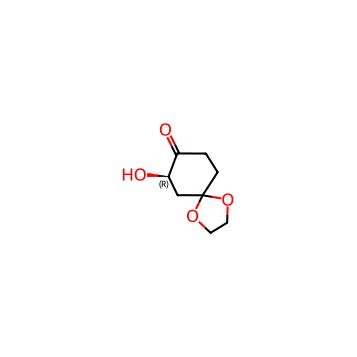 O=C1CCC2(C[C@H]1O)OCCO2